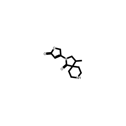 CC1CN(C2=CC(=O)OC2)C(=O)C12CCNCC2